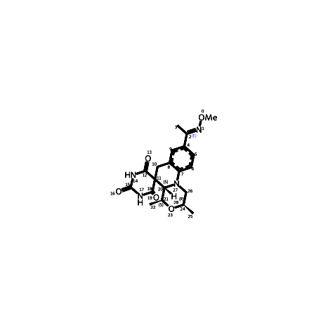 CO/N=C(\C)c1ccc2c(c1)CC1(C(=O)NC(=O)NC1=O)[C@H]1[C@H](C)O[C@H](C)CN21